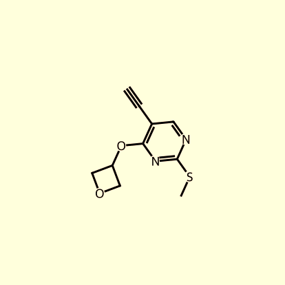 C#Cc1cnc(SC)nc1OC1COC1